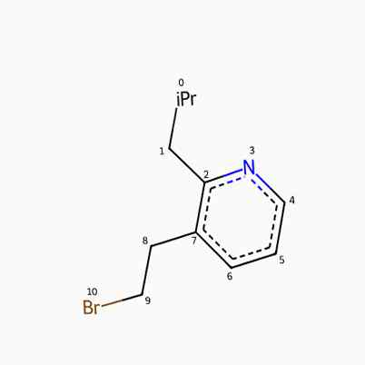 CC(C)Cc1ncccc1CCBr